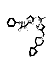 C[C@H](C(=O)Nc1ccccc1)[C@@H]1CC[C@H](C[C@@H](C)n2cc(CN3CCC(c4ccccc4)CC3)nn2)O1